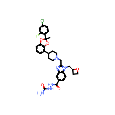 CC1(c2ccc(Cl)cc2F)Oc2cccc(C3CCN(Cc4nc5cc(C(=O)NNC(N)=O)ccc5n4C[C@@H]4CCO4)CC3)c2O1